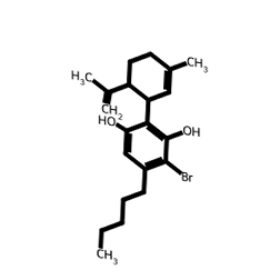 C=C(C)C1CCC(C)=CC1c1c(O)cc(CCCCC)c(Br)c1O